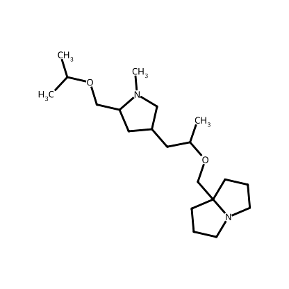 CC(C)OCC1CC(CC(C)OCC23CCCN2CCC3)CN1C